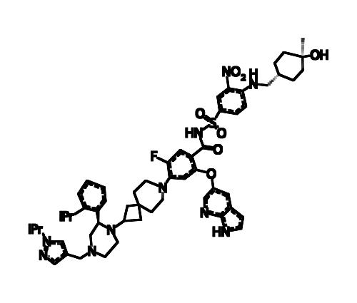 CC(C)c1ccccc1[C@@H]1CN(Cc2cnn(C(C)C)c2)CCN1C1CC2(CCN(c3cc(Oc4cnc5[nH]ccc5c4)c(C(=O)NS(=O)(=O)c4ccc(NC[C@H]5CC[C@](C)(O)CC5)c([N+](=O)[O-])c4)cc3F)CC2)C1